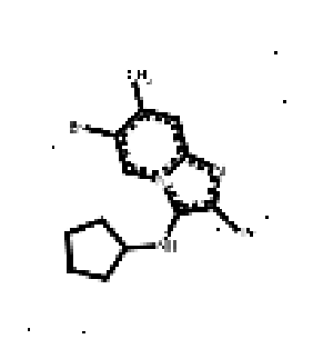 Cc1cc2nc(C(C)C)c(NC3CCCC3)n2cc1Br